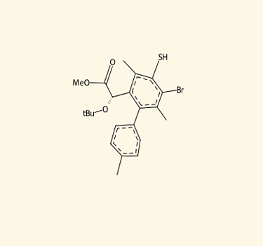 COC(=O)[C@@H](OC(C)(C)C)c1c(C)c(S)c(Br)c(C)c1-c1ccc(C)cc1